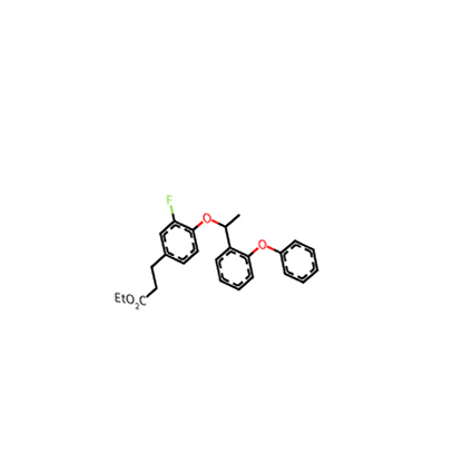 CCOC(=O)CCc1ccc(OC(C)c2ccccc2Oc2ccccc2)c(F)c1